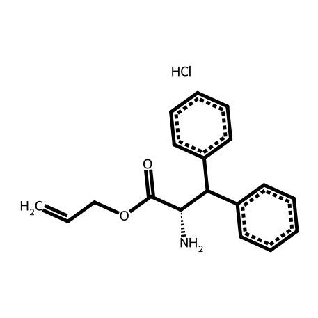 C=CCOC(=O)[C@@H](N)C(c1ccccc1)c1ccccc1.Cl